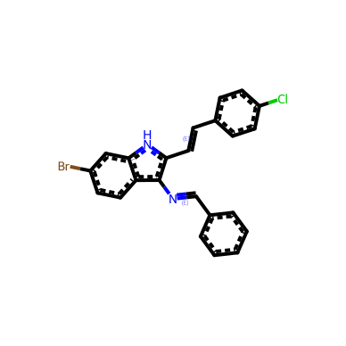 Clc1ccc(/C=C/c2[nH]c3cc(Br)ccc3c2/N=C/c2ccccc2)cc1